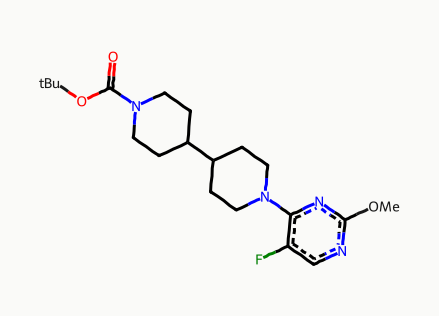 COc1ncc(F)c(N2CCC(C3CCN(C(=O)OC(C)(C)C)CC3)CC2)n1